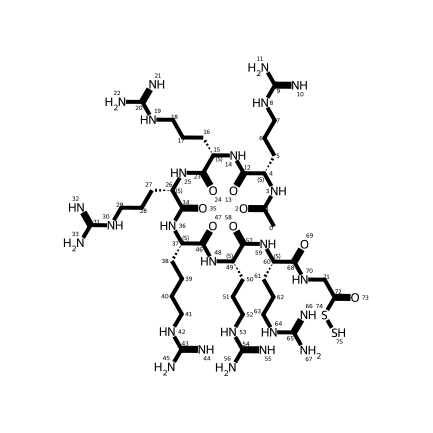 CC(=O)N[C@@H](CCCNC(=N)N)C(=O)N[C@@H](CCCNC(=N)N)C(=O)N[C@@H](CCCNC(=N)N)C(=O)N[C@@H](CCCCNC(=N)N)C(=O)N[C@@H](CCCNC(=N)N)C(=O)N[C@@H](CCCNC(=N)N)C(=O)NCC(=O)SS